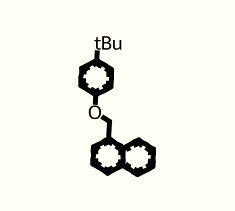 CC(C)(C)c1ccc(OCc2cccc3ccccc23)cc1